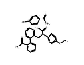 COc1ccc(N(Cc2ccccc2-c2ccccc2C(=O)O)C(C)=O)cc1.NC(=O)c1ccc(O)cc1